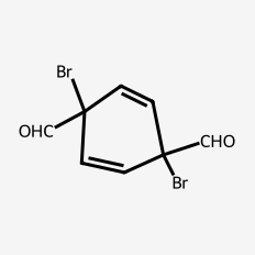 O=CC1(Br)C=CC(Br)(C=O)C=C1